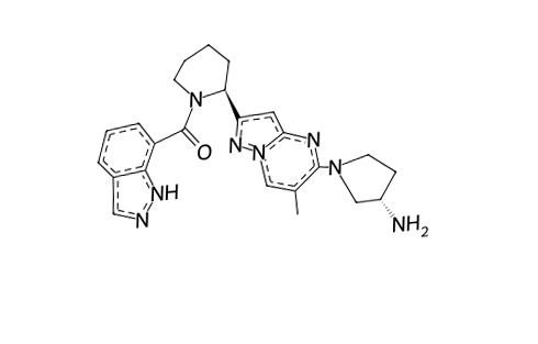 Cc1cn2nc([C@@H]3CCCCN3C(=O)c3cccc4cn[nH]c34)cc2nc1N1CC[C@H](N)C1